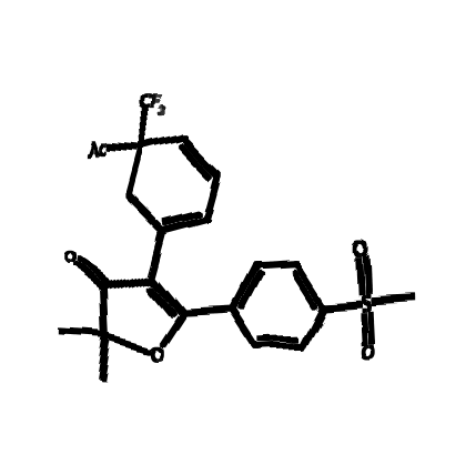 CC(=O)C1(C(F)(F)F)C=CC=C(C2=C(c3ccc(S(C)(=O)=O)cc3)OC(C)(C)C2=O)C1